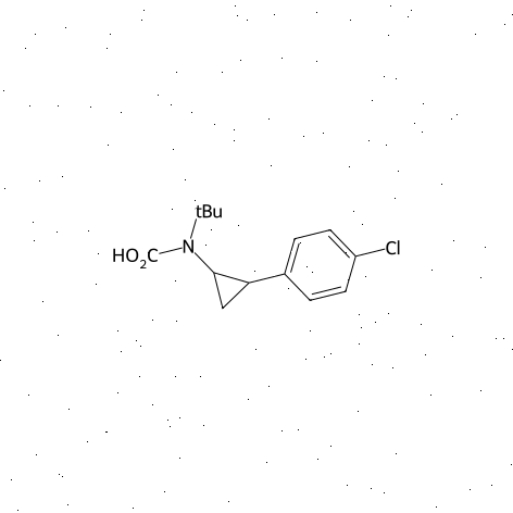 CC(C)(C)N(C(=O)O)C1CC1c1ccc(Cl)cc1